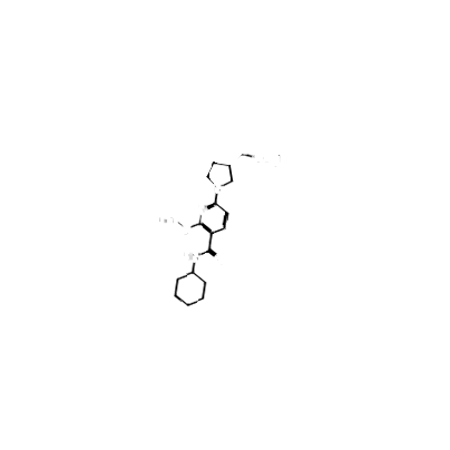 CCCSc1nc(N2CC[C@@H](CC(=O)O)C2)ccc1C(=O)NC1CCCCC1